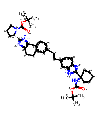 CC(C)(C)OC(=O)NC1(c2nc3ccc(CCc4ccc5c(c4)CCc4nc([C@@H]6CCCN6C(=O)OC(C)(C)C)[nH]c4-5)cc3[nH]2)CCCCC1